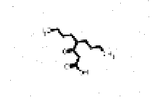 CCCCC(CCCC)C(=O)CC(=O)O